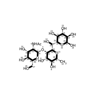 CC(=O)N[C@@H]1[C@H](O[C@H]2[C@@H](O)[C@H](O)[C@@H](C)O[C@H]2C(O)[C@H]2O[C@H](O)[C@H](O)[C@@H](O)[C@@H]2O)O[C@H](CO)[C@@H](O)[C@@H]1O